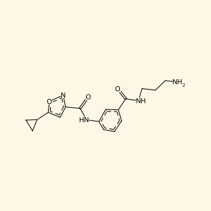 NCCCNC(=O)c1cccc(NC(=O)c2cc(C3CC3)on2)c1